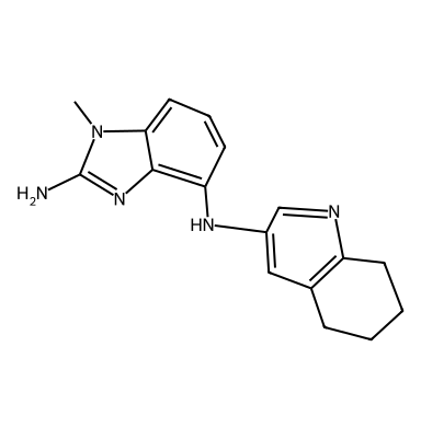 Cn1c(N)nc2c(Nc3cnc4c(c3)CCCC4)cccc21